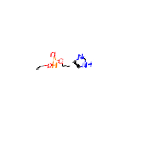 CCO[PH](=O)OCC.c1c[nH]cn1